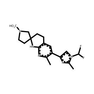 Cc1nc2c(cc1-c1cn(C(F)F)c(C)n1)CCC1(CCN(C(=O)O)C1)N2